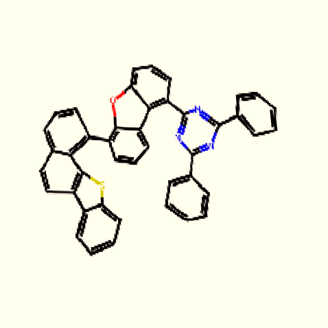 c1ccc(-c2nc(-c3ccccc3)nc(-c3cccc4oc5c(-c6cccc7ccc8c9ccccc9sc8c67)cccc5c34)n2)cc1